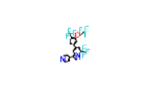 FC(F)(F)COc1cc(-c2cc(C(F)(F)F)n3ncc(-c4ccncc4)c3c2)ccc1C(F)(F)F